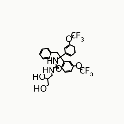 O=C(NC[C@H](O)CO)NC(Cc1ccccc1)(c1cccc(OC(F)(F)F)c1)c1cccc(OC(F)(F)F)c1